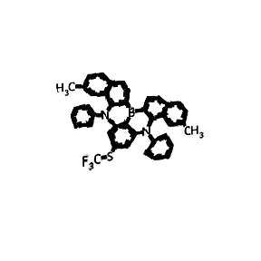 Cc1ccc2ccc3c(c2c1)N(c1ccccc1)c1cc(SC(F)(F)F)cc2c1B3c1ccc3ccc(C)cc3c1N2c1ccccc1